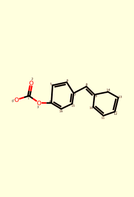 [O]C(=O)Oc1ccc(C=C2C=C[C]=CC2)cc1